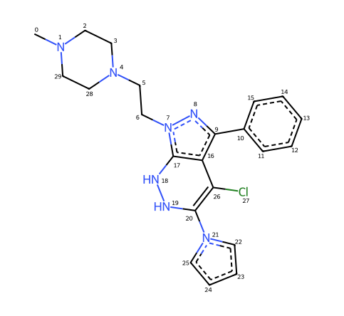 CN1CCN(CCn2nc(-c3ccccc3)c3c2NNC(n2cccc2)=C3Cl)CC1